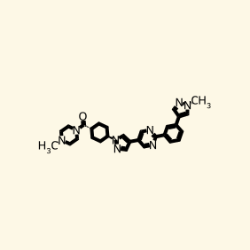 CN1CCN(C(=O)[C@H]2CC[C@H](n3cc(-c4cnc(-c5cccc(-c6cnn(C)c6)c5)nc4)cn3)CC2)CC1